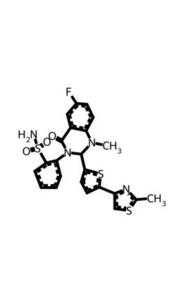 Cc1nc(-c2ccc(C3N(C)c4ccc(F)cc4C(=O)N3c3ccccc3S(N)(=O)=O)s2)cs1